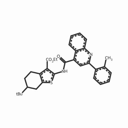 CCOC(=O)c1c(NC(=O)c2cc(-c3ccccc3C)nc3ccccc23)sc2c1CCC(C(C)(C)C)C2